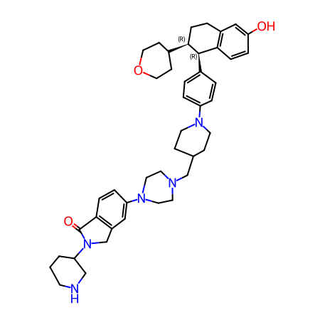 O=C1c2ccc(N3CCN(CC4CCN(c5ccc([C@@H]6c7ccc(O)cc7CC[C@@H]6C6CCOCC6)cc5)CC4)CC3)cc2CN1C1CCCNC1